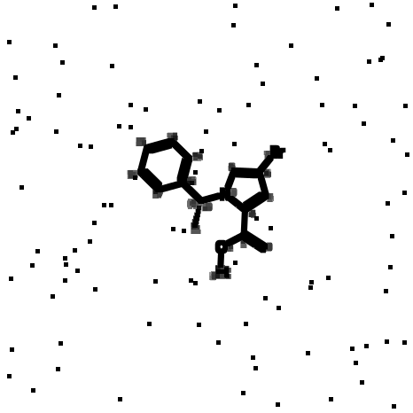 C=C(OCC)c1cc(Br)cn1[C@H](C)c1ccccc1